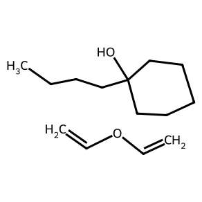 C=COC=C.CCCCC1(O)CCCCC1